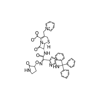 O=C([O-])C1=C(C[n+]2ccccc2)CS[C@H]2[C@H](NC(=O)/C(=N\OC3CCNC3=O)c3csc(NC(c4ccccc4)(c4ccccc4)c4ccccc4)n3)C(=O)N12